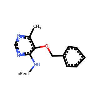 CCCCCNc1ncnc(C)c1OCc1ccccc1